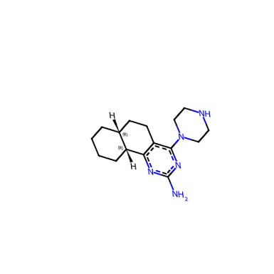 Nc1nc2c(c(N3CCNCC3)n1)CC[C@H]1CCCC[C@@H]21